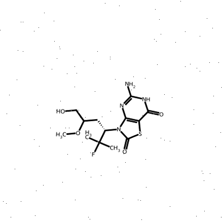 COC(CO)C[C@H](n1c(=O)sc2c(=O)[nH]c(N)nc21)C(C)(C)F